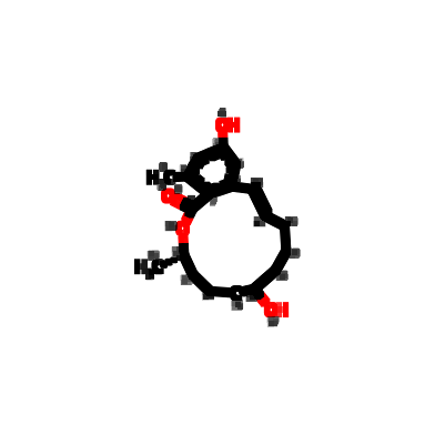 Cc1cc(O)cc2c1C(=O)O[C@@H](C)CCCC(O)CCC/C=C/2